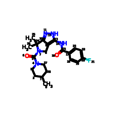 CC1CCN(C(=O)N2Cc3c(n[nH]c3NC(=O)c3ccc(F)cc3)C2(C)C)CC1